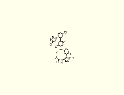 CC1CCCC(c2cn(C)c(-c3cc(Cl)ccc3-n3cc(Cl)nn3)cc2=O)c2cc(ccn2)-c2c(cnn2C(F)F)NC1=O